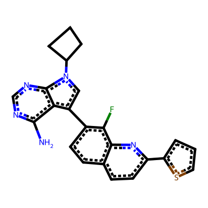 Nc1ncnc2c1c(-c1ccc3ccc(-c4cccs4)nc3c1F)cn2C1CCC1